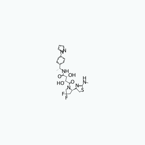 CNC1=NC([C@H]2CC(F)(F)CN2C(=O)[C@H](O)[C@@H](O)C(=O)N[C@H](C)c2ccc(-n3cccn3)cc2)CS1